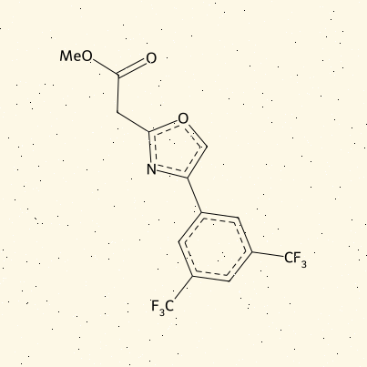 COC(=O)Cc1nc(-c2cc(C(F)(F)F)cc(C(F)(F)F)c2)co1